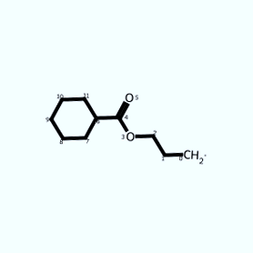 [CH2]CCOC(=O)C1CCCCC1